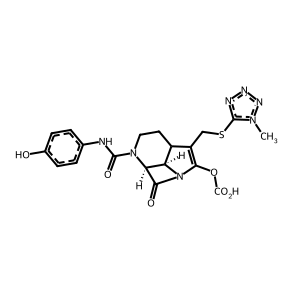 Cn1nnnc1SCC1=C(OC(=O)O)N2C(=O)[C@@H]3[C@H]2C1CCN3C(=O)Nc1ccc(O)cc1